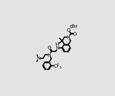 CN(C)CCN(Cc1ccccc1C(F)(F)F)C(=O)CNc1cccc2c1C(C)(C)CN(C(=O)OC(C)(C)C)C2